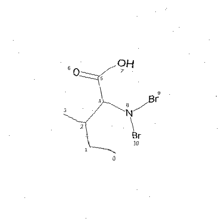 CCC(C)C(C(=O)O)N(Br)Br